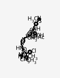 CC(=O)N[C@H](C(=O)N1C[C@H](O)C[C@H]1C(=O)NCc1ccc(-c2scnc2C)cc1)C(C)(C)SCCN1CCN(CCNC(=O)C[C@@H]2N=C(c3ccc(Cl)cc3)c3c(sc(C)c3C)-n3c(C)nnc32)CC1